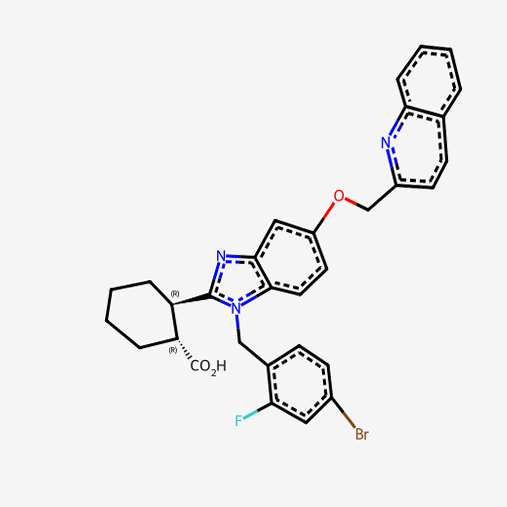 O=C(O)[C@@H]1CCCC[C@H]1c1nc2cc(OCc3ccc4ccccc4n3)ccc2n1Cc1ccc(Br)cc1F